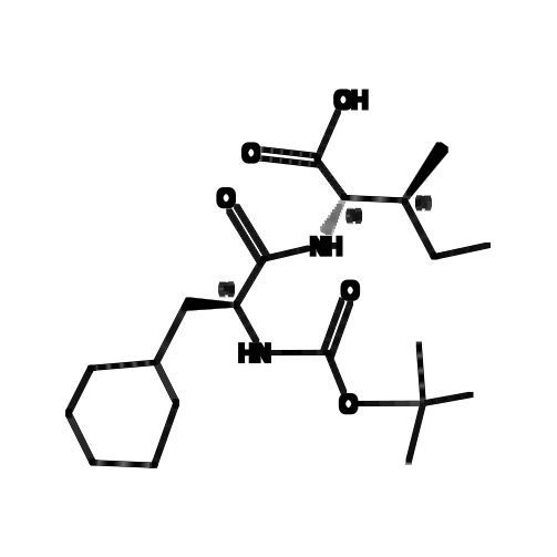 CC[C@H](C)[C@H](NC(=O)[C@H](CC1CCCCC1)NC(=O)OC(C)(C)C)C(=O)O